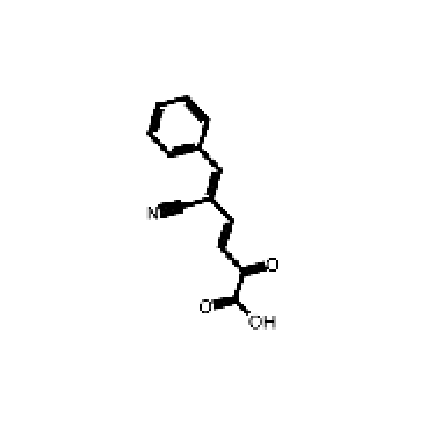 N#CC(C=CC(=O)C(=O)O)=Cc1ccccc1